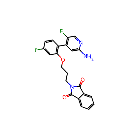 Nc1cc(-c2ccc(F)cc2OCCCN2C(=O)c3ccccc3C2=O)c(F)cn1